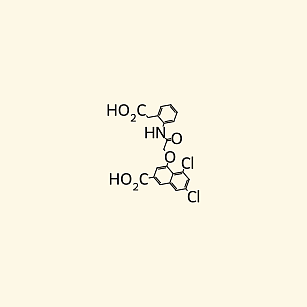 O=C(O)Cc1ccccc1NC(=O)COc1cc(C(=O)O)cc2cc(Cl)cc(Cl)c12